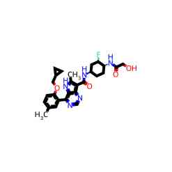 Cc1ccc(OCC2CC2)c(-c2ncnc3c(C(=O)N[C@@H]4CC[C@@H](NC(=O)CO)[C@H](F)C4)c(C)[nH]c23)c1